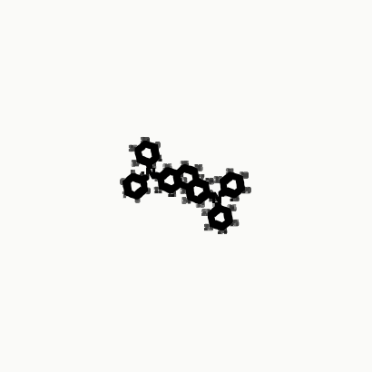 C1=CC(N(c2ccccc2)c2ccc3c(ccc4cc(N(c5ccccc5)c5ccccc5)ccc43)c2)=CCC1